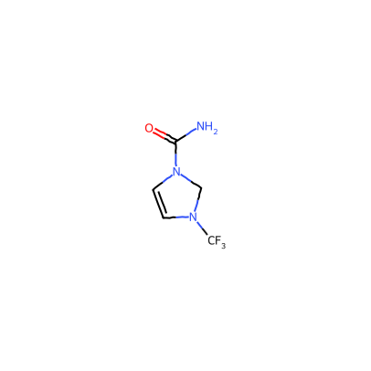 NC(=O)N1C=CN(C(F)(F)F)C1